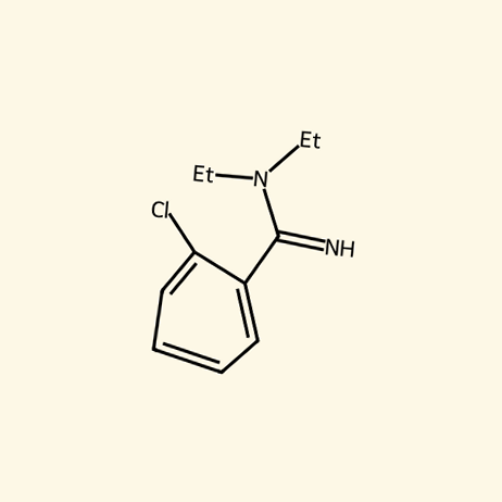 CCN(CC)C(=N)c1ccccc1Cl